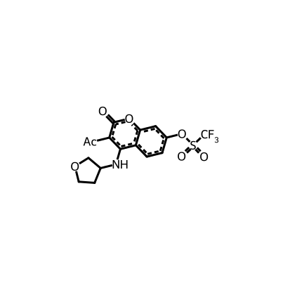 CC(=O)c1c(NC2CCOC2)c2ccc(OS(=O)(=O)C(F)(F)F)cc2oc1=O